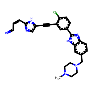 CN1CCN(Cc2ccc3nc(-c4ccc(Cl)c(C#Cc5cnc(/C=C\C=N)[nH]5)c4)[nH]c3c2)CC1